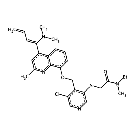 C=C/C=C(/c1cc(C)nc2c(OCc3c(Cl)cncc3SCC(=O)N(C)CC)cccc12)N(C)C